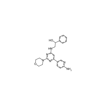 Nc1ccc(-c2cc(NCC(O)c3ccccc3)nc(N3CCOCC3)n2)cn1